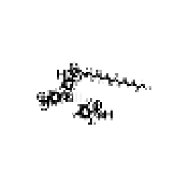 CCCCCCCCCCCCCCCCS(=O)(=O)Nc1ccc(S(=N)c2ccc([N+](=O)[O-])cc2)cc1.Cc1cc(C)c(C(=O)O)c(C)c1